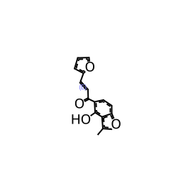 Cc1coc2ccc(C(=O)/C=C/c3ccco3)c(O)c12